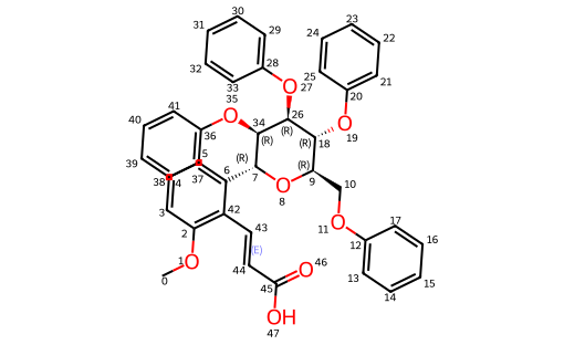 COc1cccc([C@H]2O[C@H](COc3ccccc3)[C@@H](Oc3ccccc3)[C@H](Oc3ccccc3)[C@@H]2Oc2ccccc2)c1/C=C/C(=O)O